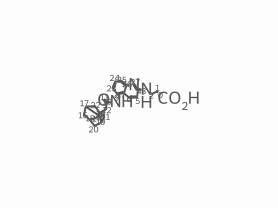 O=C(O)CCNc1ccc2c(NC(=O)CC34CC5CC(CC(C5)C3)C4)cccc2n1